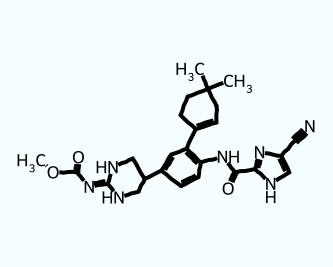 COC(=O)N=C1NCC(c2ccc(NC(=O)c3nc(C#N)c[nH]3)c(C3=CCC(C)(C)CC3)c2)CN1